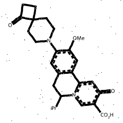 COc1cc2c(cc1N1CCC3(CCC3=O)CC1)CC(C(C)C)n1cc(C(=O)O)c(=O)cc1-2